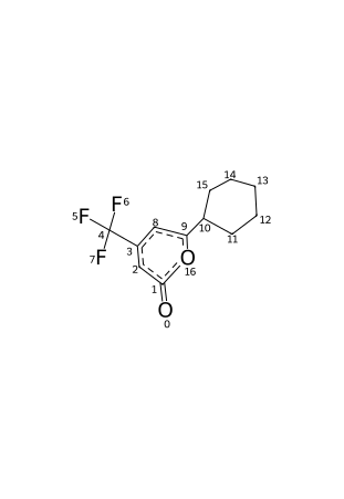 O=c1cc(C(F)(F)F)cc(C2CCCCC2)o1